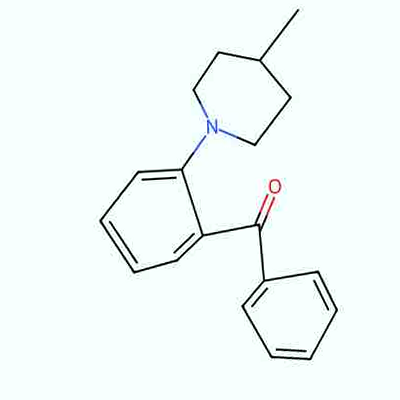 CC1CCN(c2ccccc2C(=O)c2ccccc2)CC1